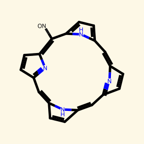 O=Nc1c2nc(cc3ccc(cc4nc(cc5ccc1[nH]5)C=C4)[nH]3)C=C2